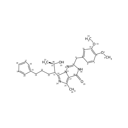 COc1ccc(Cc2nn3c(C(CCCc4ccccc4)[C@@H](C)O)nc(C)c3c(=O)[nH]2)cc1OC